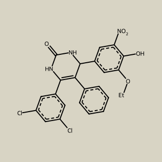 CCOc1cc(C2NC(=O)NC(c3cc(Cl)cc(Cl)c3)=C2c2ccccc2)cc([N+](=O)[O-])c1O